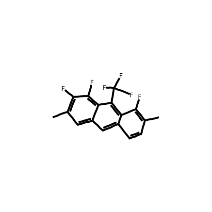 Cc1cc2cc3ccc(C)c(F)c3c(C(F)(F)F)c2c(F)c1F